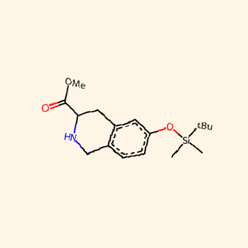 COC(=O)C1Cc2cc(O[Si](C)(C)C(C)(C)C)ccc2CN1